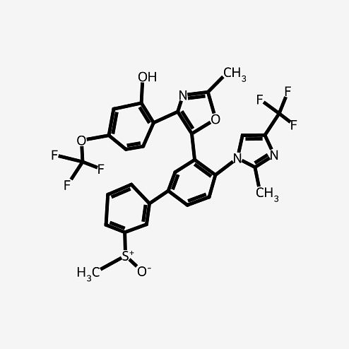 Cc1nc(-c2ccc(OC(F)(F)F)cc2O)c(-c2cc(-c3cccc([S+](C)[O-])c3)ccc2-n2cc(C(F)(F)F)nc2C)o1